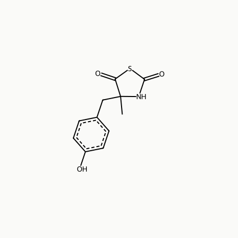 CC1(Cc2ccc(O)cc2)NC(=O)SC1=O